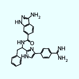 N=C(N)c1ccc(-c2c[nH]c(C(Cc3ccccc3)NC(=O)c3ccc4c(N)n[nH]c4c3)n2)cc1